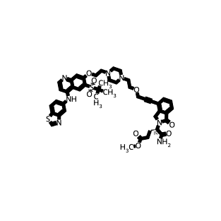 COC(=O)CC[C@@H](C(N)=O)N1Cc2c(C#CCOCCN3CCN(CCOc4cc5nccc(Nc6ccc7scnc7c6)c5cc4S(=O)(=O)C(C)(C)C)CC3)cccc2C1=O